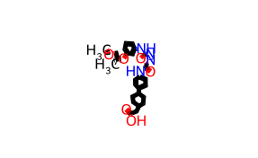 COC[C@@H](C)Oc1cccc(Nc2nnc(C(=O)Nc3ccc(C4CCC(CC(=O)O)CC4)cc3)o2)c1